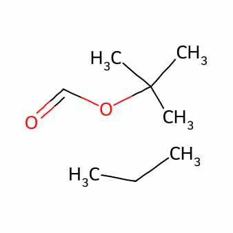 CC(C)(C)OC=O.CCC